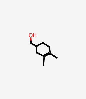 CC1=C(C)CC(CO)CC1